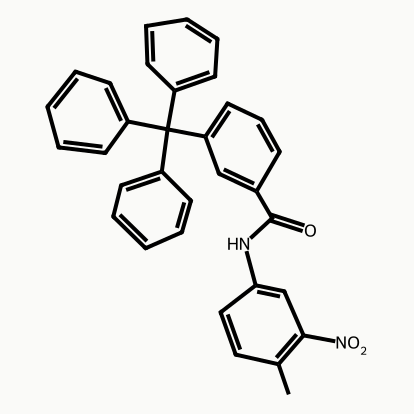 Cc1ccc(NC(=O)c2cccc(C(c3ccccc3)(c3ccccc3)c3ccccc3)c2)cc1[N+](=O)[O-]